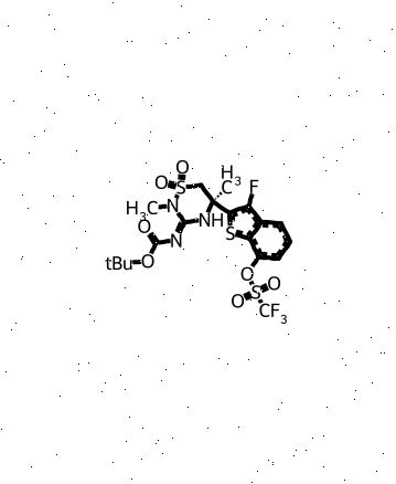 CN1/C(=N\C(=O)OC(C)(C)C)N[C@](C)(c2sc3c(OS(=O)(=O)C(F)(F)F)cccc3c2F)CS1(=O)=O